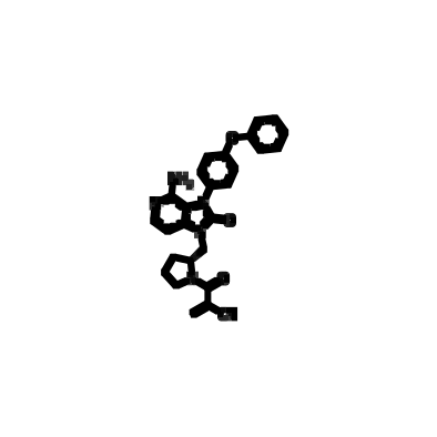 C=C(C#N)C(=O)N1CCC[C@H]1Cn1c(=O)n(-c2ccc(Oc3ccccc3)cc2)c2c(N)nccc21